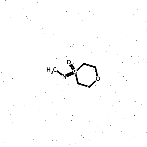 CN=S1(=O)CCOCC1